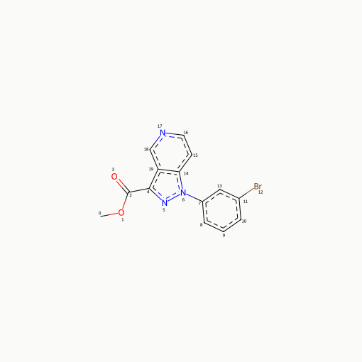 COC(=O)c1nn(-c2cccc(Br)c2)c2ccncc12